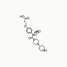 Cl.Cl.O=C(O)CCOc1ccc(NC(=O)N2CCN(C3CCNCC3)CC2)cc1